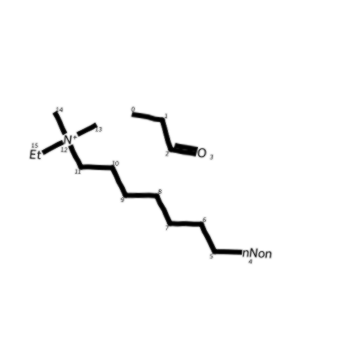 CCC=O.CCCCCCCCCCCCCCCC[N+](C)(C)CC